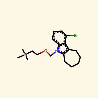 C[Si](C)(C)CCOCn1c2c(c3c(Br)cccc31)CCCCC2